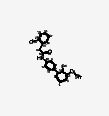 CC(C)Oc1cccc(-c2ccc(NC(=O)Cc3ccccc3Cl)cc2)c1F